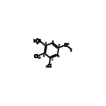 Bc1cc(OC)cc(Cl)c1Cl